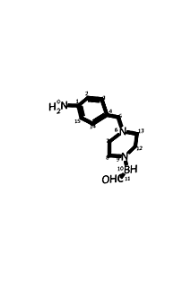 Nc1ccc(CN2CCN(BC=O)CC2)cc1